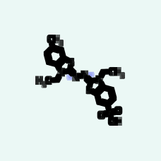 CCn1/c(=N/N=c2\sc3cc(S(=O)(=O)O)ccc3n2CC)sc2cc(C)ccc21